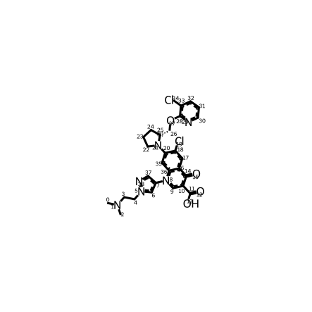 CN(C)CCn1cc(-n2cc(C(=O)O)c(=O)c3cc(Cl)c(N4CCC[C@@H]4COc4ncccc4Cl)cc32)cn1